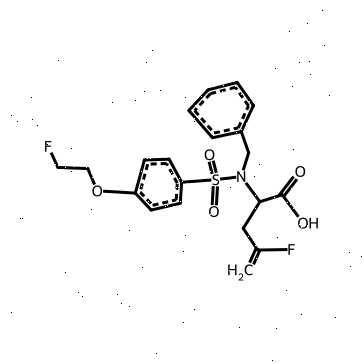 C=C(F)CC(C(=O)O)N(Cc1ccccc1)S(=O)(=O)c1ccc(OCCF)cc1